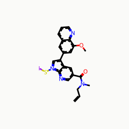 C=CCN(C)C(=O)c1cnc2c(c1)c(-c1cc(OC)c3ncccc3c1)cn2SI